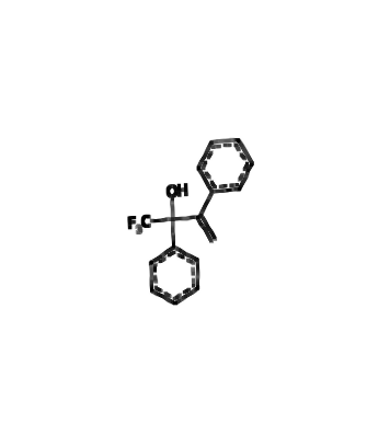 C=C(c1ccccc1)C(O)(c1ccccc1)C(F)(F)F